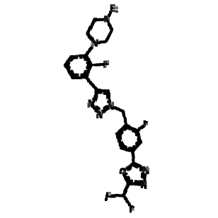 CCN1CCN(c2cccc(-c3cn(Cc4ccc(-c5nnc(C(F)F)o5)cc4F)nn3)c2F)CC1